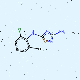 Cc1cccc(Cl)c1Nc1nc(N)ns1